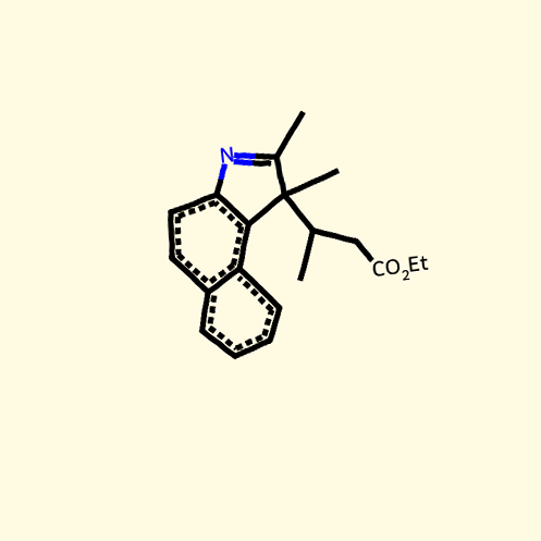 CCOC(=O)CC(C)C1(C)C(C)=Nc2ccc3ccccc3c21